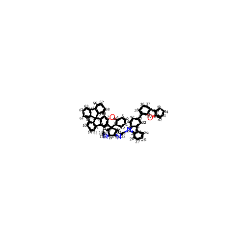 c1ccc2c(c1)Oc1cc3c(cc1C21c2cccnc2-c2ncc(-n4c5ccccc5c5cc(-c6cccc7c6oc6ccccc67)ccc54)cc21)-c1ccccc1C31c2ccccc2-c2ccccc21